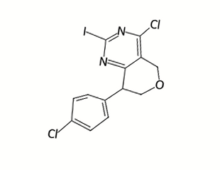 Clc1ccc(C2COCc3c(Cl)nc(I)nc32)cc1